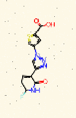 O=C1NC(F)CC=C1c1cn(-c2csc(C(=O)O)c2)nn1